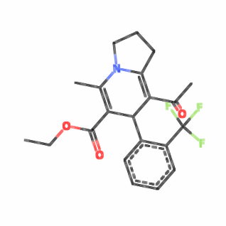 CCOC(=O)C1=C(C)N2CCCC2=C(C(C)=O)C1c1ccccc1C(F)(F)F